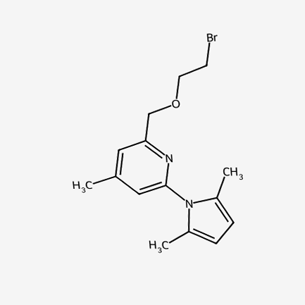 Cc1cc(COCCBr)nc(-n2c(C)ccc2C)c1